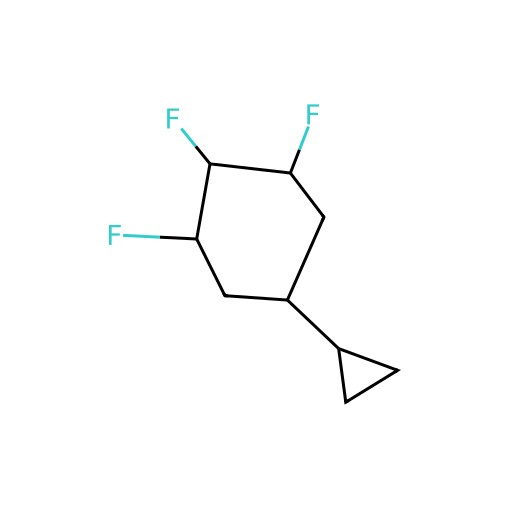 FC1CC(C2CC2)CC(F)C1F